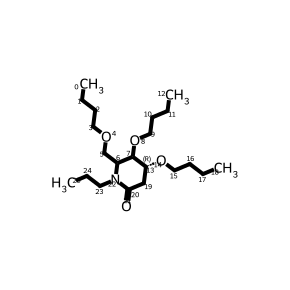 CCCCOCC1C(OCCCC)[C@H](OCCCC)CC(=O)N1CCC